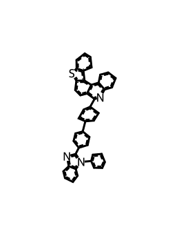 c1ccc(-n2c(-c3ccc(-c4ccc(-c5nc6ccccc6c6c5ccc5sc7ccccc7c56)cc4)cc3)nc3ccccc32)cc1